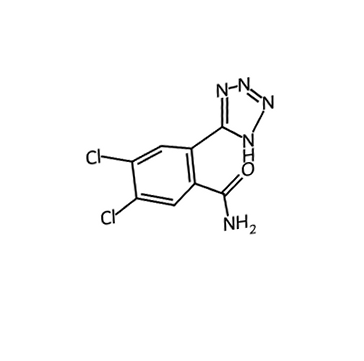 NC(=O)c1cc(Cl)c(Cl)cc1-c1nnn[nH]1